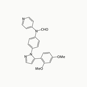 COc1ccc(-c2ccnn2-c2ccc(N(C=O)c3ccncc3)cc2)c(OC)c1